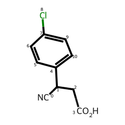 N#CC(CC(=O)O)c1ccc(Cl)cc1